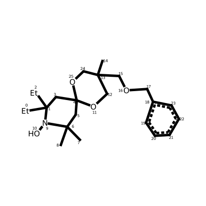 CCC1(CC)CC2(CC(C)(C)N1O)OCC(C)(COCc1ccccc1)CO2